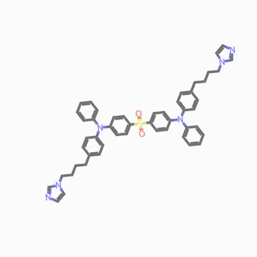 O=S(=O)(c1ccc(N(c2ccccc2)c2ccc(CCCCn3ccnc3)cc2)cc1)c1ccc(N(c2ccccc2)c2ccc(CCCCn3ccnc3)cc2)cc1